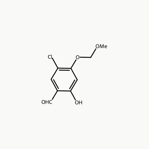 COCOc1cc(O)c(C=O)cc1Cl